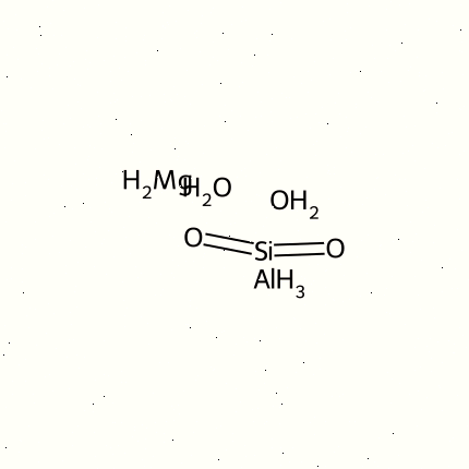 O.O.O=[Si]=O.[AlH3].[MgH2]